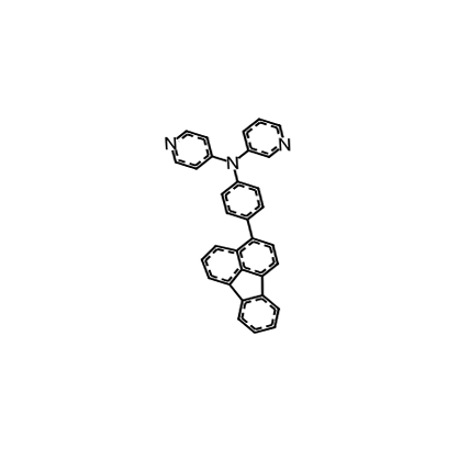 c1cncc(N(c2ccncc2)c2ccc(-c3ccc4c5c(cccc35)-c3ccccc3-4)cc2)c1